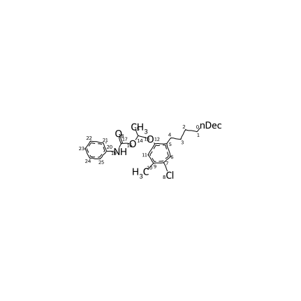 CCCCCCCCCCCCCCc1cc(Cl)c(C)cc1OC(C)OC(=O)Nc1[c]cccc1